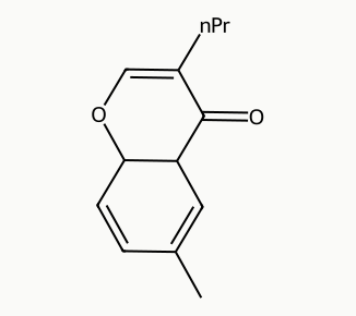 CCCC1=COC2C=CC(C)=CC2C1=O